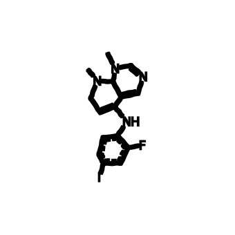 CN1C=NC=C2C(Nc3ccc(I)cc3F)=CCN(C)C21